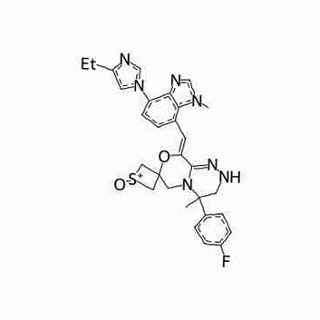 CCc1cn(-c2ccc(/C=C3\OC4(CN5C3=NNCC5(C)c3ccc(F)cc3)C[S+]([O-])C4)c3c2ncn3C)cn1